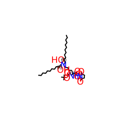 CCCCCCCCCC[C@@H](O)CN(CCCC[C@H](NC(=O)OC(C)(C)C)C(=O)ON1C(=O)CCC1=O)C[C@H](O)CCCCCCCCC